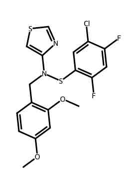 COc1ccc(CN(Sc2cc(Cl)c(F)cc2F)c2cscn2)c(OC)c1